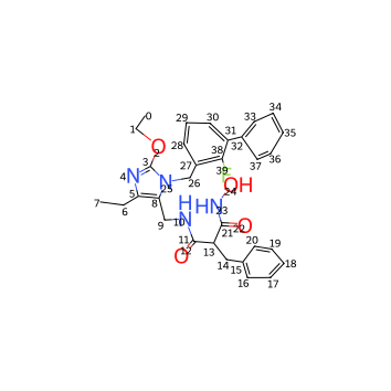 CCOc1nc(CC)c(CNC(=O)C(Cc2ccccc2)C(=O)NO)n1Cc1cccc(-c2ccccc2)c1F